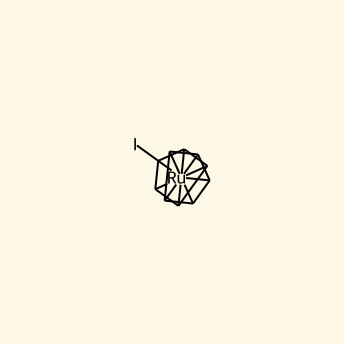 I[C]12[CH]3[CH]4[CH]5[CH]1[Ru]45321678[CH]2[CH]1[CH]6[CH]7[CH]28